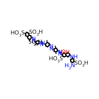 Cc1cc(N=Nc2cc(C)c(N=Nc3c(S(=O)(=O)O)cc4cc(Nc5ccc(N)c(S(=O)(=O)O)c5)ccc4c3O)cc2C)ccc1N=Nc1ccc(N=Nc2cc3c(S(=O)(=O)O)cc(S(=O)(=O)O)cc3cc2S(=O)(=O)O)c(C)c1